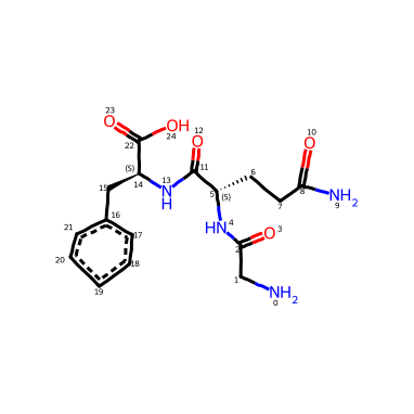 NCC(=O)N[C@@H](CCC(N)=O)C(=O)N[C@@H](Cc1ccccc1)C(=O)O